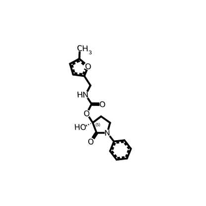 Cc1ccc(CNC(=O)O[C@@]2(O)CCN(c3ccccc3)C2=O)o1